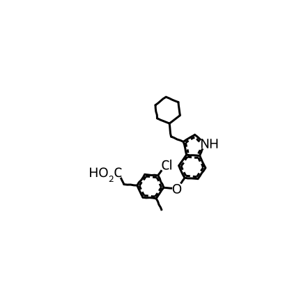 Cc1cc(CC(=O)O)cc(Cl)c1Oc1ccc2[nH]cc(CC3CCCCC3)c2c1